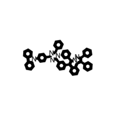 c1ccc(-c2nc(-c3ccc(-n4c5ccccc5c5ccccc54)cc3)nc(-c3cccc(-c4c(-c5ccccc5)n5nc(-c6ccccc6)c(-c6ccccc6)c5c5ccccc45)c3)n2)cc1